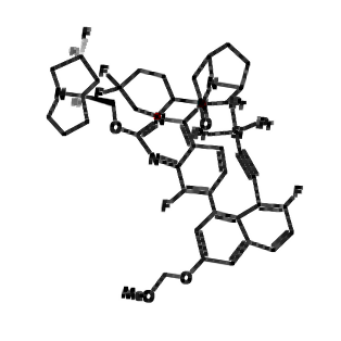 COCOc1cc(-c2ccc3c(N4CC5CCC(C4)N5C(=O)C4CCC(F)(F)CC4)nc(OC[C@@]45CCCN4C[C@H](F)C5)nc3c2F)c2c(C#C[Si](C(C)C)(C(C)C)C(C)C)c(F)ccc2c1